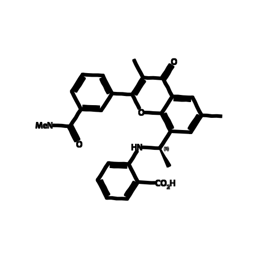 CNC(=O)c1cccc(-c2oc3c([C@@H](C)Nc4ccccc4C(=O)O)cc(C)cc3c(=O)c2C)c1